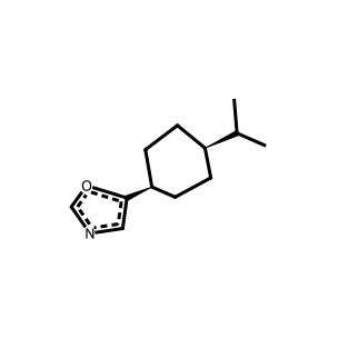 CC(C)[C@H]1CC[C@@H](c2cnco2)CC1